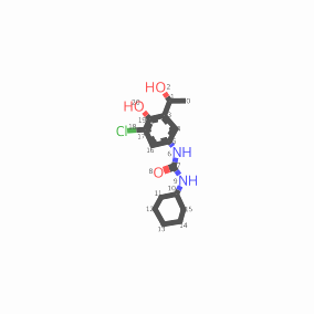 CC(O)c1cc(NC(=O)NC2CCCCC2)cc(Cl)c1O